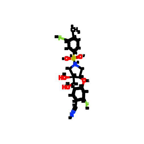 Cc1ccc(S(=O)(=O)N2CC(Oc3ccc(C#N)c(F)c3)[C@](O)(CO)C2)cc1F